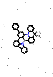 C[Si]1(C)c2ccccc2N2c3cc(-c4ccccc4)cc4c3B(c3cccc1c32)n1c2ccccc2c2cccc-4c21